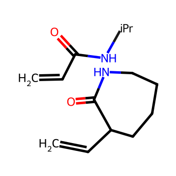 C=CC(=O)NC(C)C.C=CC1CCCCNC1=O